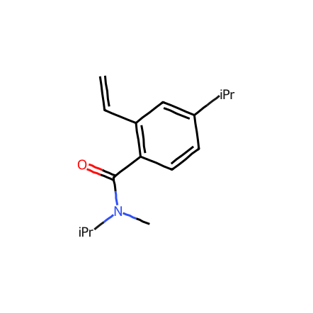 C=Cc1cc(C(C)C)ccc1C(=O)N(C)C(C)C